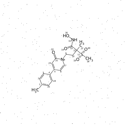 Cc1ccc(-c2ccn(CCC(C)(C(=O)NO)S(C)(=O)=O)c(=O)c2)cc1